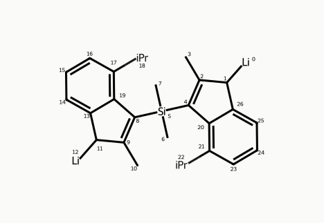 [Li][CH]1C(C)=C([Si](C)(C)C2=C(C)[CH]([Li])c3cccc(C(C)C)c32)c2c(C(C)C)cccc21